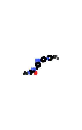 CC(=O)N1CC(C(=O)NCc2ccc(Nc3ccc(N4CCC(C(F)(F)F)CC4)cc3)cc2)C1